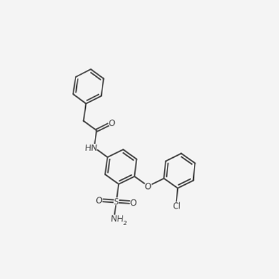 NS(=O)(=O)c1cc(NC(=O)Cc2ccccc2)ccc1Oc1ccccc1Cl